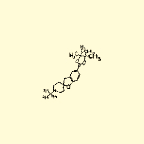 [2H]C([2H])([2H])N1CCC2(CC1)Cc1cc(B3OC(C)(C)C(C)(C)O3)ccc1O2